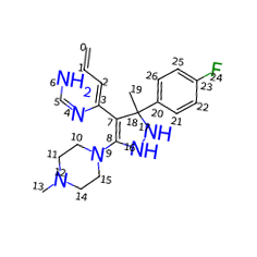 C=C/C=C(\N=C/N)C1=C(N2CCN(C)CC2)NNC1(C)c1ccc(F)cc1